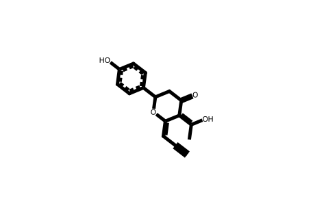 C#C/C=C1/OC(c2ccc(O)cc2)CC(=O)/C1=C(/C)O